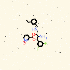 CCc1cccc(CNC[C@@H](OC(=O)c2ccc[n+]([O-])c2)[C@@H](N)Cc2cc(F)cc(F)c2)c1